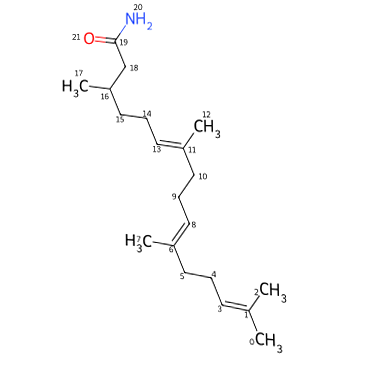 CC(C)=CCCC(C)=CCCC(C)=CCCC(C)CC(N)=O